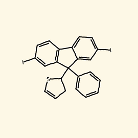 Ic1ccc2c(c1)C(c1ccccc1)(C1CC=CS1)c1cc(I)ccc1-2